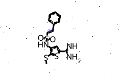 CSc1sc(C(=N)N)cc1NS(=O)(=O)/C=C/c1ccccc1